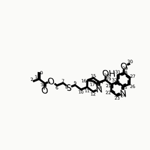 C=C(C)C(=O)OCCSCCC1CN2CCC1CC2C(O)c1ccnc2ccc(OC)cc12